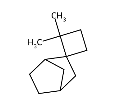 CC1(C)CCC12CC1CCC2C1